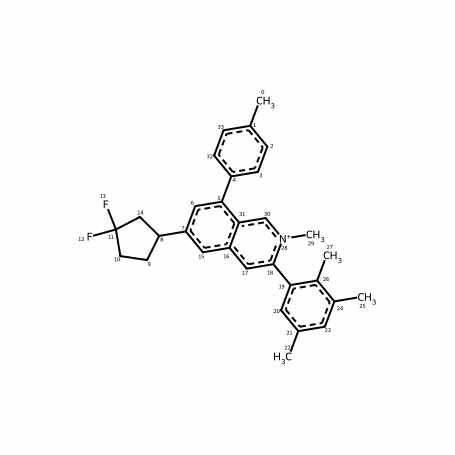 Cc1ccc(-c2cc(C3CCC(F)(F)C3)cc3cc(-c4cc(C)cc(C)c4C)[n+](C)cc23)cc1